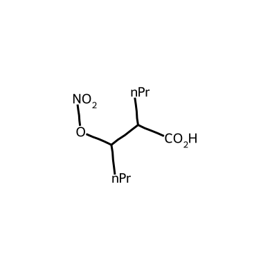 CCCC(O[N+](=O)[O-])C(CCC)C(=O)O